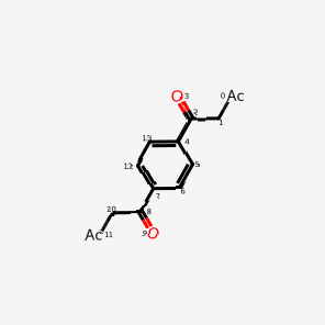 CC(=O)CC(=O)c1ccc(C(=O)CC(C)=O)cc1